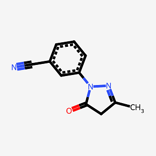 CC1=NN(c2cccc(C#N)c2)C(=O)C1